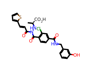 C[C@H](NN(C(=O)C=Cc1cccs1)C(=O)c1ccc(C(=O)NCc2cccc(O)c2)cc1Cl)C(=O)O